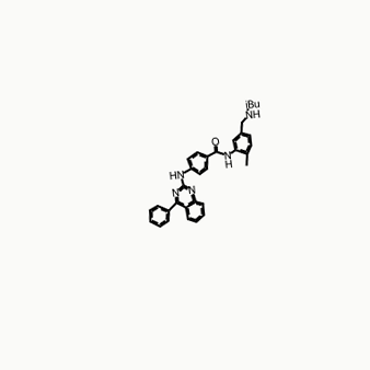 CCC(C)NCc1ccc(C)c(NC(=O)c2ccc(Nc3nc(-c4ccccc4)c4ccccc4n3)cc2)c1